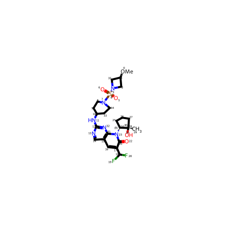 COC1CN(S(=O)(=O)N2CCC(Nc3ncc4cc(C(F)F)c(=O)n([C@@H]5CCC[C@@]5(C)O)c4n3)CC2)C1